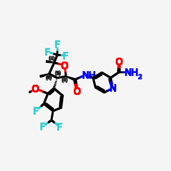 COc1c([C@@H]2[C@@H](C)[C@](C)(C(F)(F)F)O[C@H]2C(=O)Nc2ccnc(C(N)=O)c2)ccc(C(F)F)c1F